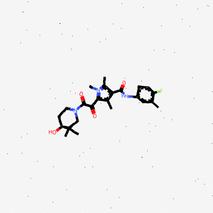 Cc1cc(NC(=O)c2c(C)c(C(=O)C(=O)N3CCC(O)C(C)(C)C3)n(C)c2C)ccc1F